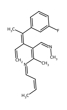 C=CC(=C(\C)c1cccc(F)c1)/C(/C=N\C)=C(C)\N=C/C=C\C